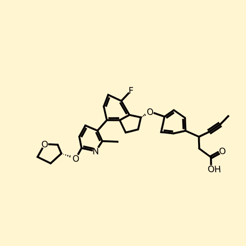 CC#CC(CC(=O)O)c1ccc(O[C@@H]2CCc3c(-c4ccc(O[C@@H]5CCOC5)nc4C)ccc(F)c32)cc1